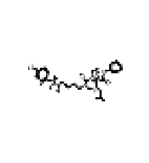 CCNC(=O)N(CCCCNS(=O)(=O)c1ccc(Cl)cc1Cl)C[C@@H](CC(C)C)NC(=O)Nc1ccccc1